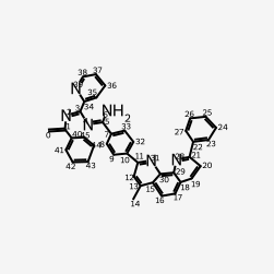 C=C(/N=C(\N=C(/N)c1ccc(-c2cc(C)c3ccc4ccc(-c5ccccc5)nc4c3n2)cc1)c1ccccn1)c1ccccc1